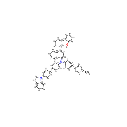 Cc1ccc(-c2ccc(N(c3ccc(-c4ccc(N5CCc6ccccc65)cc4)cc3)c3ccc(-c4cccc5c4oc4ccccc45)c4ccccc34)cc2)cc1